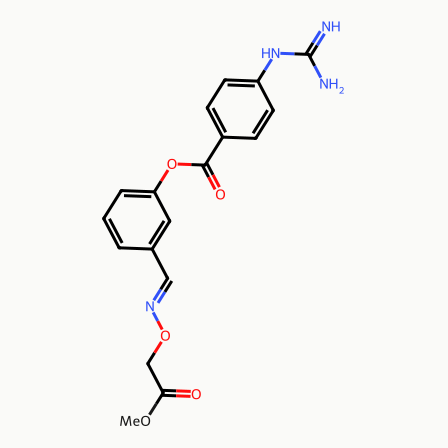 COC(=O)CON=Cc1cccc(OC(=O)c2ccc(NC(=N)N)cc2)c1